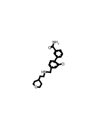 NC(=O)c1cccc(-c2ccc(CNCCC3CCOCC3)cc2Cl)c1